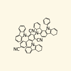 N#Cc1ccc(-c2c(-n3c4c(c5ccccc53)CCC=C4)c(C#N)c(N3c4ccc5c6c(n(-c7ccccc7)c5c4C4C=CC=CC43)C=CCC6)c(C#N)c2-n2c3ccccc3c3ccccc32)cc1